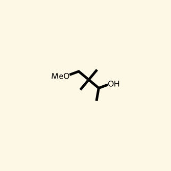 COCC(C)(C)C(C)O